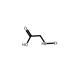 CCBCC(=O)O